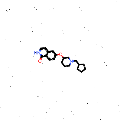 O=c1[nH]ccc2cc(OC3CCCN(CC4CCCC4)C3)ccc12